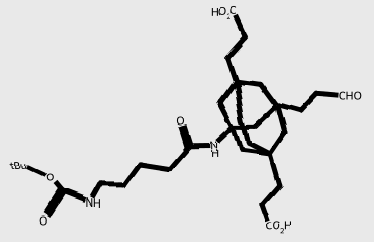 CC(C)(C)OC(=O)NCCCCC(=O)NC12CC3(CCC=O)CC(CCC(=O)O)(CC(CCC(=O)O)(C3)C1)C2